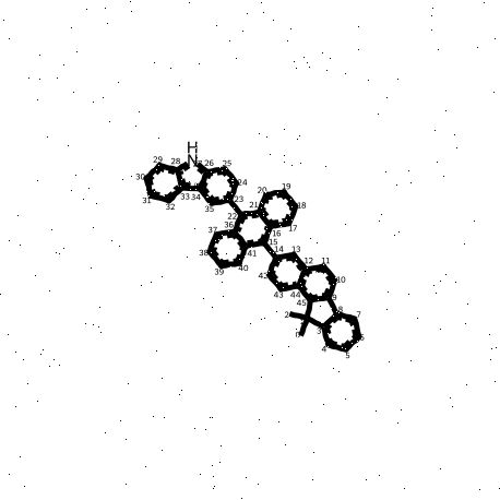 CC1(C)c2ccccc2-c2ccc3cc(-c4c5ccccc5c(-c5ccc6[nH]c7ccccc7c6c5)c5ccccc45)ccc3c21